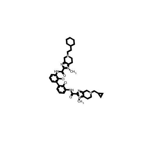 Cn1c(C(=O)Nc2cccc(-c3cccc(NC(=O)c4nc5c(n4C)CCN(CC4CC4)C5)c3Cl)c2Cl)nc2c1CCN(CCC1CCCCC1)C2